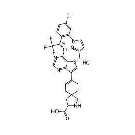 Cc1ccn(-c2cc(Cl)ccc2[C@@H](Oc2ncnc3c(C4=CCC5(CC4)CNC(C(=O)O)C5)csc23)C(F)(F)F)n1.Cl